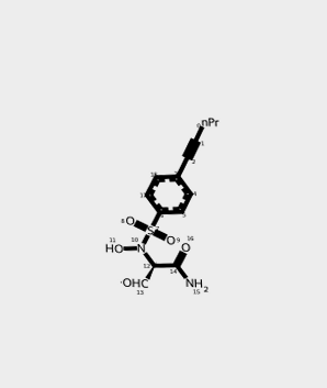 CCCC#Cc1ccc(S(=O)(=O)N(O)[C@H]([C]=O)C(N)=O)cc1